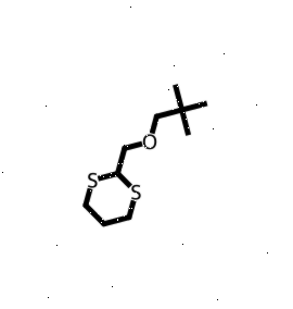 CC(C)(C)COCC1SCCCS1